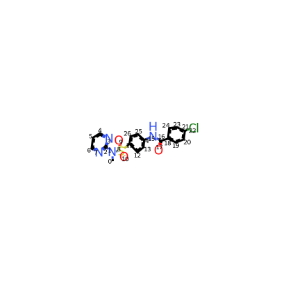 CN(c1ncccn1)S(=O)(=O)c1ccc(NC(=O)c2ccc(Cl)cc2)cc1